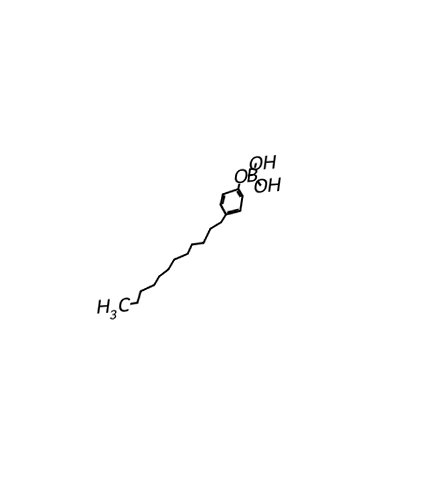 CCCCCCCCCCCCc1ccc(OB(O)O)cc1